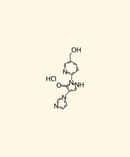 Cl.O=c1c(-n2ccnc2)c[nH]n1-c1ccc(CO)cn1